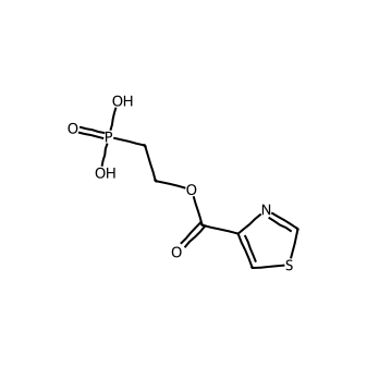 O=C(OCCP(=O)(O)O)c1cscn1